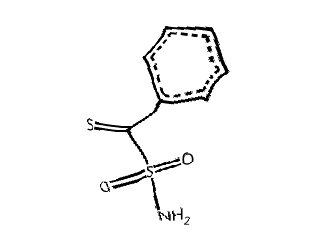 NS(=O)(=O)C(=S)c1ccccc1